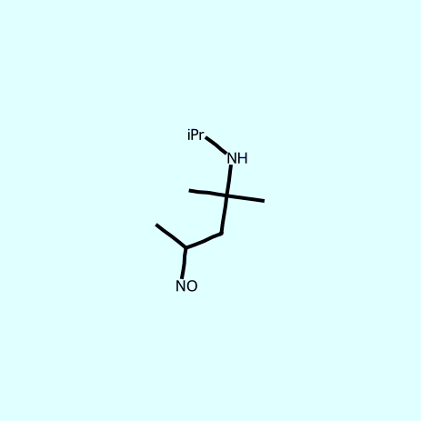 CC(CC(C)(C)NC(C)C)N=O